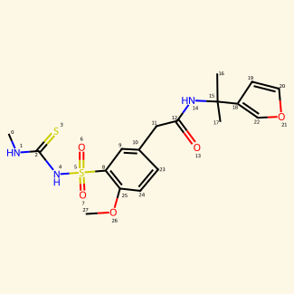 CNC(=S)NS(=O)(=O)c1cc(CC(=O)NC(C)(C)c2ccoc2)ccc1OC